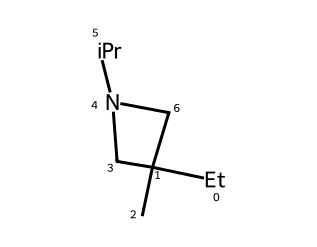 CCC1(C)CN(C(C)C)C1